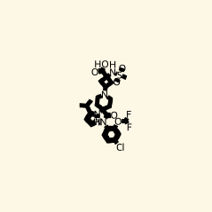 CC(C)c1ccnn1C1(C(=O)Nc2ccc(Cl)cc2OC(F)F)CCN(C2CC(NS(C)(=O)=O)(C(=O)O)C2)CC1